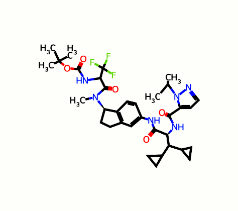 CC(C)n1nccc1C(=O)N[C@H](C(=O)Nc1ccc2c(c1)CC[C@H]2N(C)C(=O)C(NC(=O)OC(C)(C)C)C(F)(F)F)C(C1CC1)C1CC1